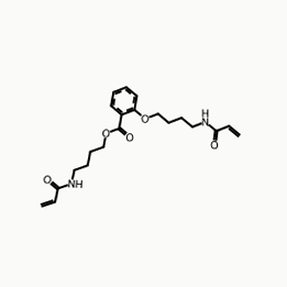 C=CC(=O)NCCCCOC(=O)c1ccccc1OCCCCNC(=O)C=C